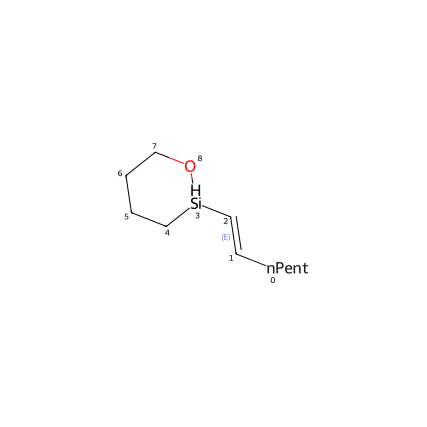 CCCCC/C=C/[SiH]1CCCCO1